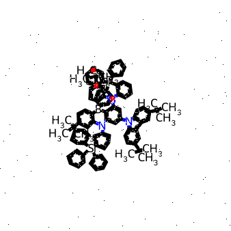 CC(C)(C)c1ccc2c(c1)N(c1cccc([Si](c3ccccc3)(c3ccccc3)c3ccccc3)c1)c1cc(-n3c4ccc(C(C)(C)C)cc4c4cc(C(C)(C)C)ccc43)cc3c1B2c1ccc(C(C)(C)C)cc1N3c1ccccc1[Si](c1ccccc1)(c1ccccc1)c1ccccc1